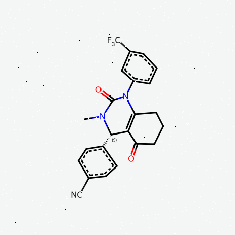 CN1C(=O)N(c2cccc(C(F)(F)F)c2)C2=C(C(=O)CCC2)[C@@H]1c1ccc(C#N)cc1